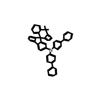 CC1(C)c2ccccc2C2(c3ccccc3-c3ccc(N(c4ccc(-c5ccccc5)cc4)c4ccc(-c5ccccc5)cc4)cc32)c2ccccc21